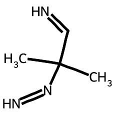 CC(C)(C=N)N=N